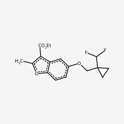 CCOC(=O)c1c(C)oc2ccc(OCC3(C(F)F)CC3)cc12